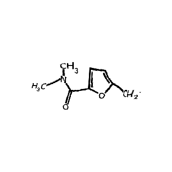 [CH2]c1ccc(C(=O)N(C)C)o1